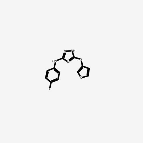 Fc1ccc(Nc2n[nH]c(Sc3ccsc3)n2)cc1